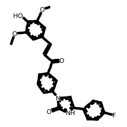 COc1cc(C=CC(=O)c2cccc(-n3cc(-c4ccc(F)cc4)[nH]c3=O)c2)cc(OC)c1O